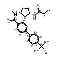 CCC(=O)N[C@H]1CC[C@@H](N(C)C(=O)c2ccc(-c3ccc(C(F)(F)F)cc3)cc2)C1